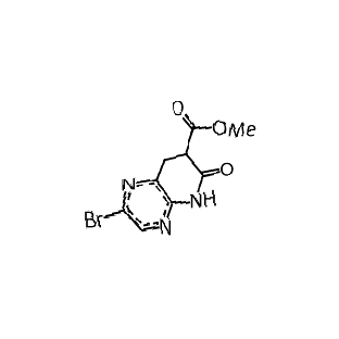 COC(=O)C1Cc2nc(Br)cnc2NC1=O